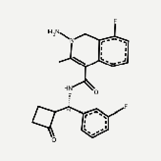 CC1=C(C(=O)N[C@H](c2cccc(F)c2)C2CCC2=O)c2cccc(F)c2CN1N